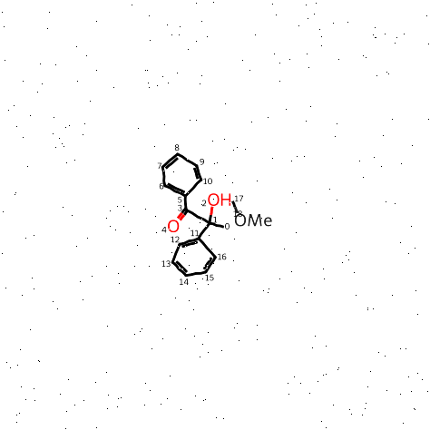 CC(O)(C(=O)c1ccccc1)c1ccccc1.COC